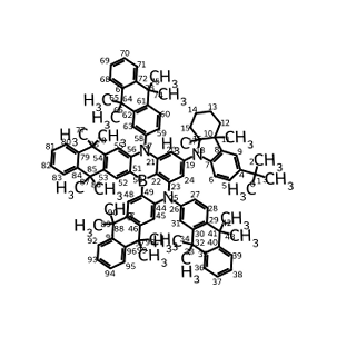 CC(C)(C)c1ccc2c(c1)C1(C)CCCCC1(C)N2c1cc2c3c(c1)N(c1ccc4c(c1)C(C)(C)c1ccccc1C4(C)C)c1cc4c(cc1B3c1cc3c(cc1N2c1ccc2c(c1)C(C)(C)c1ccccc1C2(C)C)C(C)(C)c1ccccc1C3(C)C)C(C)(C)c1ccccc1C4(C)C